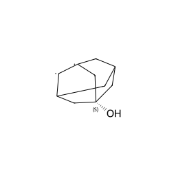 O[C@]12C[C]3[CH]C(CC(C3)C1)C2